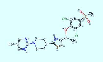 CCc1cnc(N2CCC(c3nc(C(C)Oc4c(Cl)cc(S(C)(=O)=O)cc4Cl)cs3)CC2)nc1